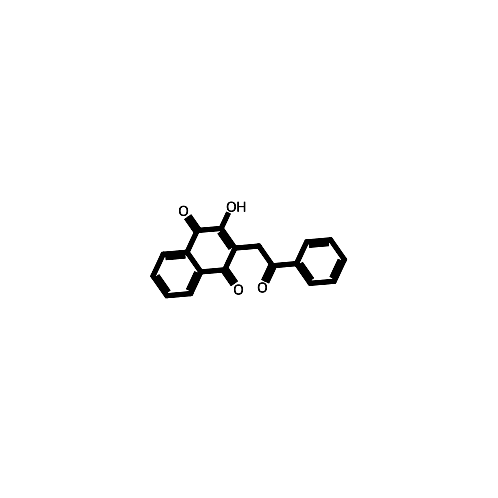 O=C(CC1=C(O)C(=O)c2ccccc2C1=O)c1ccccc1